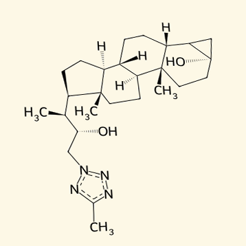 Cc1nnn(C[C@@H](O)[C@@H](C)[C@H]2CC[C@H]3[C@@H]4CC[C@@H]5C6C[C@@]6(O)CC[C@]5(C)[C@H]4CC[C@]23C)n1